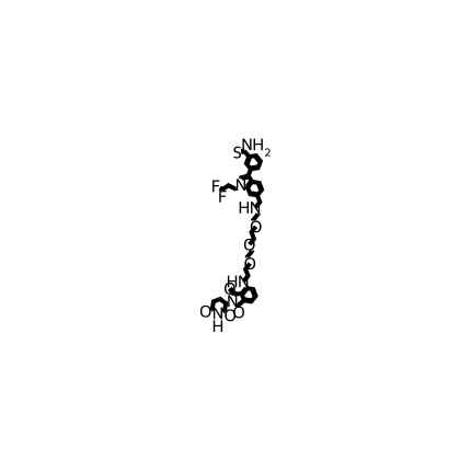 NC(=S)c1cccc(-c2cn(CCC(F)F)c3cc(CNCCOCCOCCOCCNc4cccc5c4C(=O)N(C4CCC(=O)NC4=O)C5=O)ccc23)c1